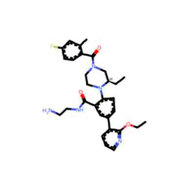 CCOc1ncccc1-c1ccc(N2CCN(C(=O)c3ccc(F)cc3C)C[C@H]2CC)c(C(=O)NCCN)c1